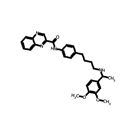 COc1ccc(C(C)NCCCCc2ccc(NC(=O)c3cnc4ccccc4n3)cc2)cc1OC